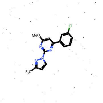 COc1cc(-c2cccc(Cl)c2)nc(-n2ccc(C(F)(F)F)n2)n1